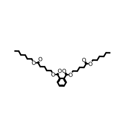 CCCCCCOC(=O)CCCCOC(=O)c1ccccc1C(=O)OCCCCC(=O)OCCCCCC